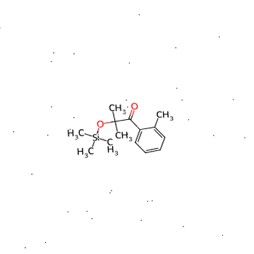 Cc1ccccc1C(=O)C(C)(C)O[Si](C)(C)C